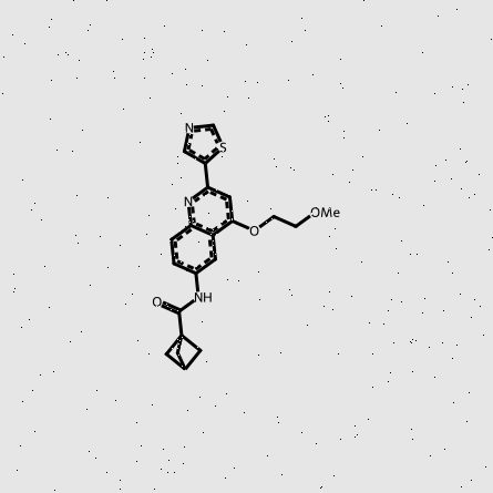 COCCOc1cc(-c2cncs2)nc2ccc(NC(=O)C34CC(C3)C4)cc12